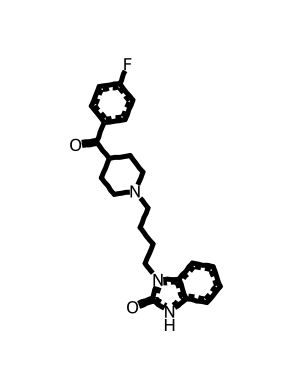 O=C(c1ccc(F)cc1)C1CCN(CCCCn2c(=O)[nH]c3ccccc32)CC1